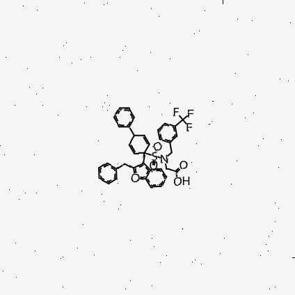 O=C(O)CN(Cc1cccc(C(F)(F)F)c1)S(=O)(=O)C1(c2c(Cc3ccccc3)oc3ccccc23)C=CC(c2ccccc2)C=C1